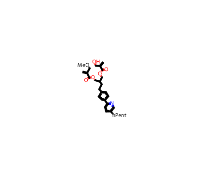 C=C(CO)C(=O)OCC(CCc1ccc(-c2ccc(CCCCC)cn2)cc1)COC(=O)C(=C)COC